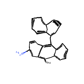 CC(C)(C)c1c2ccccc2c(-c2cccc3ccccc23)c2ccc(N)cc12